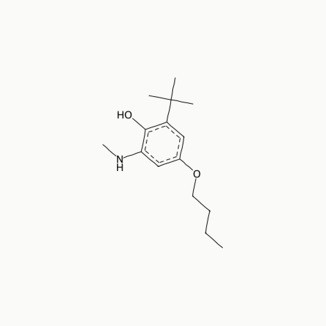 CCCCOc1cc(NC)c(O)c(C(C)(C)C)c1